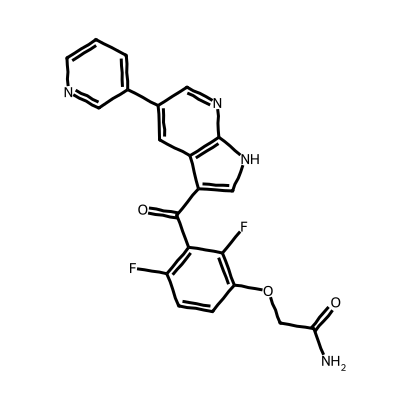 NC(=O)COc1ccc(F)c(C(=O)c2c[nH]c3ncc(-c4cccnc4)cc23)c1F